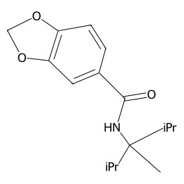 CC(C)C(C)(NC(=O)c1ccc2c(c1)OCO2)C(C)C